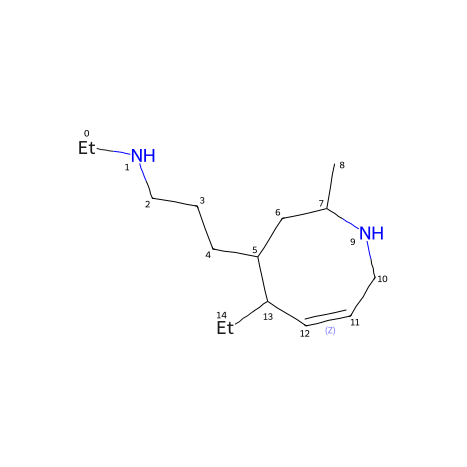 CCNCCCC1CC(C)NC/C=C\C1CC